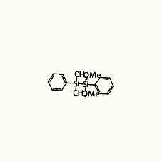 CO[Si](OC)(c1ccccc1)[Si](C)(C)c1ccccc1